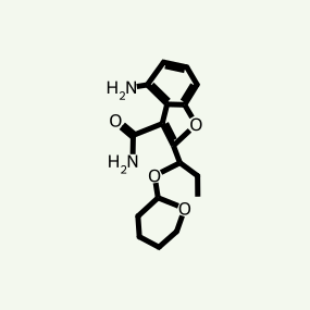 CCC(OC1CCCCO1)c1oc2cccc(N)c2c1C(N)=O